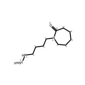 CCCCCCCNCCCCN1CCCCCC1=O